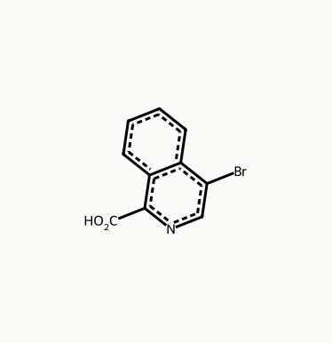 O=C(O)c1ncc(Br)c2ccccc12